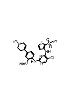 COc1cc(C2=CCN(C(C)C)CC2)ccc1Nc1ncc(Cl)c(Nc2ccsc2S(=O)(=O)C(C)C)n1